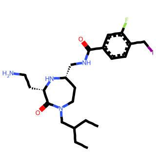 CCC(CC)CN1CC[C@@H](CNC(=O)c2ccc(CI)c(F)c2)N[C@@H](CCN)C1=O